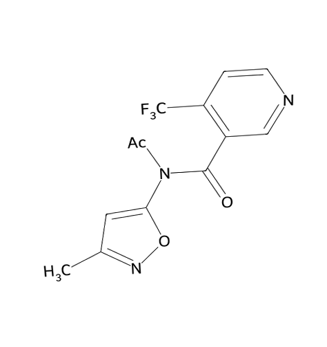 CC(=O)N(C(=O)c1cnccc1C(F)(F)F)c1cc(C)no1